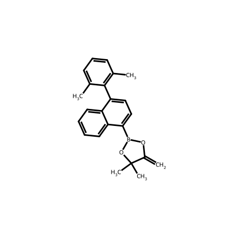 C=C1OB(c2ccc(-c3c(C)cccc3C)c3ccccc23)OC1(C)C